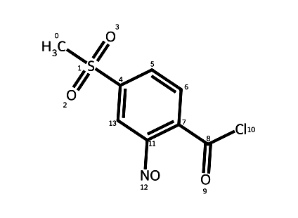 CS(=O)(=O)c1ccc(C(=O)Cl)c(N=O)c1